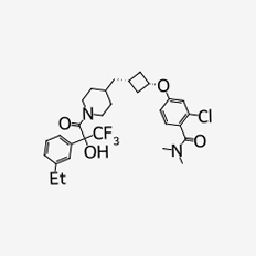 CCc1cccc(C(O)(C(=O)N2CCC(C[C@H]3C[C@@H](Oc4ccc(C(=O)N(C)C)c(Cl)c4)C3)CC2)C(F)(F)F)c1